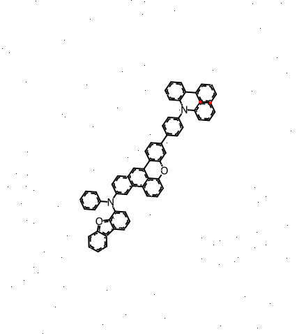 c1ccc(-c2ccccc2N(c2ccccc2)c2ccc(-c3ccc4c(c3)Oc3cccc5c3c-4cc3ccc(N(c4ccccc4)c4cccc6c4oc4ccccc46)cc35)cc2)cc1